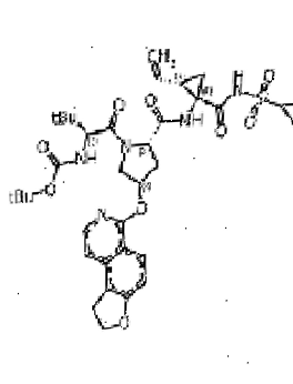 C=C[C@@H]1C[C@]1(NC(=O)[C@@H]1C[C@@H](Oc2nccc3c4c(ccc23)OCC4)CN1C(=O)[C@@H](NC(=O)OC(C)(C)C)C(C)(C)C)C(=O)NS(=O)(=O)C1CC1